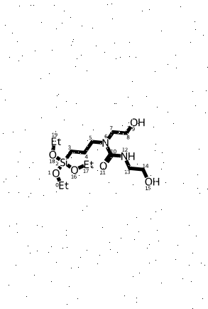 CCO[Si](CCCN(CCO)C(=O)NCCO)(OCC)OCC